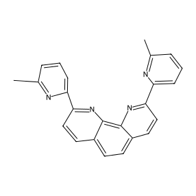 Cc1cccc(-c2ccc3ccc4ccc(-c5cccc(C)n5)nc4c3n2)n1